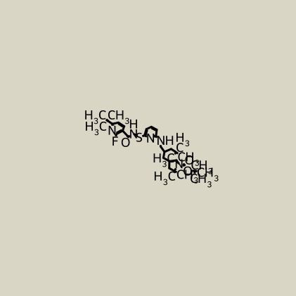 CC(C)(C)CC(CNc1cccc(SNC(=O)c2ccc(C(C)(C)C)nc2F)n1)CC1CN(C(=O)OC(C)(C)C)C(C)(C)C1